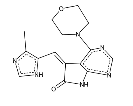 Cc1nc[nH]c1C=C1C(=O)Nc2ncnc(N3CCOCC3)c21